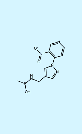 CB(O)NCc1cnn(-c2ccncc2[N+](=O)[O-])c1